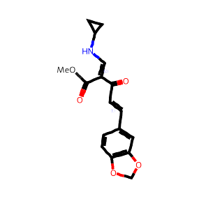 COC(=O)/C(=C\NC1CC1)C(=O)/C=C/c1ccc2c(c1)OCO2